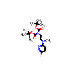 CN(CCN(C(=O)OC(C)(C)C)C(=O)OC(C)(C)C)c1ccc(I)nn1